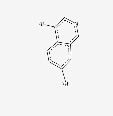 [2H]c1ccc2c([2H])cncc2c1